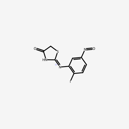 O=Nc1ccc(I)c(/N=C2/NC(=O)CS2)c1